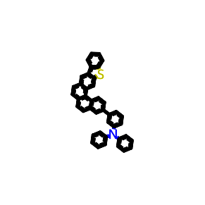 c1ccc(N(c2ccccc2)c2cccc(-c3ccc4c(ccc5ccc6cc7c(cc6c54)sc4ccccc47)c3)c2)cc1